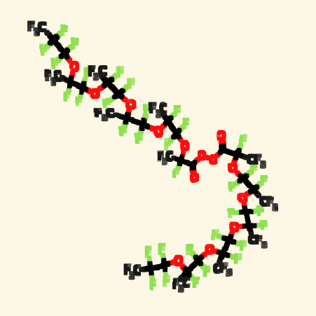 O=C(OOC(=O)C(F)(OC(F)(F)C(F)(OC(F)(F)C(F)(OC(F)(F)C(F)(OC(F)(F)C(F)(OC(F)(F)C(F)(F)C(F)(F)F)C(F)(F)F)C(F)(F)F)C(F)(F)F)C(F)(F)F)C(F)(F)F)C(F)(OC(F)(F)C(F)(OC(F)(F)C(F)(OC(F)(F)C(F)(OC(F)(F)C(F)(OC(F)(F)C(F)(F)C(F)(F)F)C(F)(F)F)C(F)(F)F)C(F)(F)F)C(F)(F)F)C(F)(F)F